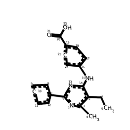 CCc1c(C)nc(-c2ccccc2)nc1Nc1ccc(C(=O)O)cc1